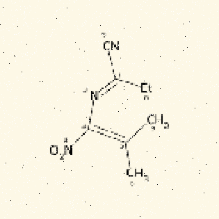 CC/C(C#N)=N\C(=C(C)C)[N+](=O)[O-]